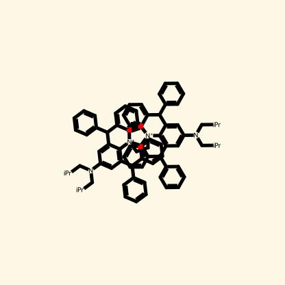 CC(C)CN(CC(C)C)c1cc(C(c2ccccc2)c2ccccc2)c([N+]23C=C[N+](c4c(C(c5ccccc5)c5ccccc5)cc(N(CC(C)C)CC(C)C)cc4C(c4ccccc4)c4ccccc4)(CC2)C3)c(C(c2ccccc2)c2ccccc2)c1